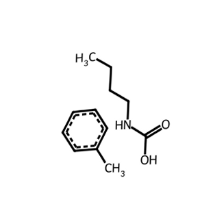 CCCCNC(=O)O.Cc1ccccc1